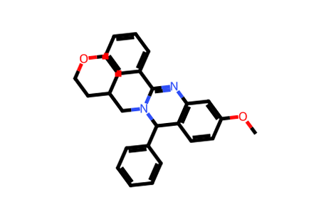 COc1ccc2c(c1)N=C(c1ccccc1)N(CC1CCOCC1)C2c1ccccc1